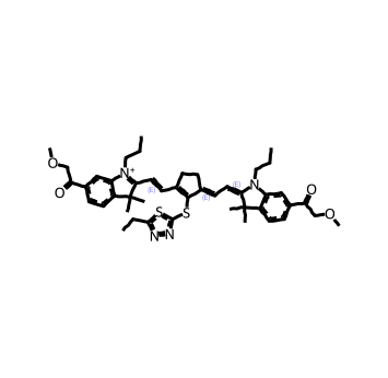 CCCN1/C(=C/C=C2\CCC(/C=C/C3=[N+](CCC)c4cc(C(=O)COC)ccc4C3(C)C)=C2Sc2nnc(CC)s2)C(C)(C)c2ccc(C(=O)COC)cc21